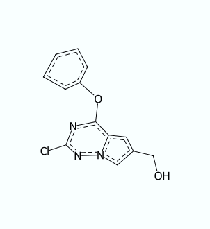 OCc1cc2c(Oc3ccccc3)nc(Cl)nn2c1